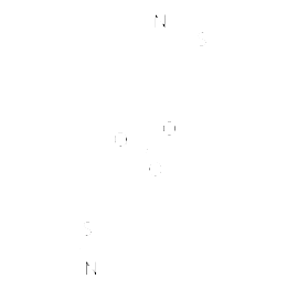 O=C(OCCc1cncs1)OCCc1cncs1